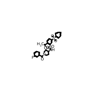 CC(C)c1ccc(S(=O)(=O)c2ccccc2)cc1S(=O)(=O)NC1CCN(C(=O)c2cccc(F)c2)CC1